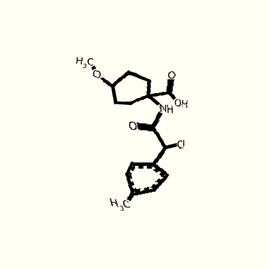 COC1CCC(NC(=O)C(Cl)c2ccc(C)cc2)(C(=O)O)CC1